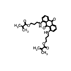 C=C(C)C(=O)OCCCNc1cccc2c1C(=O)c1c(NCCCOC(=O)C(=C)C)cccc1C2=O